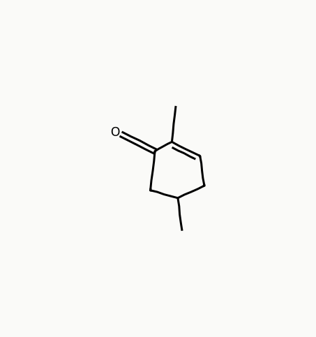 CC1=CCC(C)CC1=O